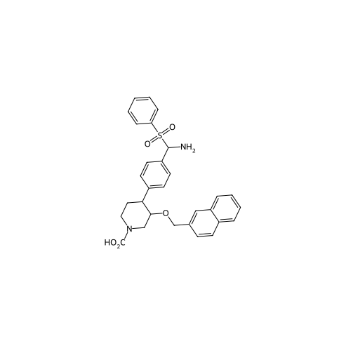 NC(c1ccc(C2CCN(C(=O)O)CC2OCc2ccc3ccccc3c2)cc1)S(=O)(=O)c1ccccc1